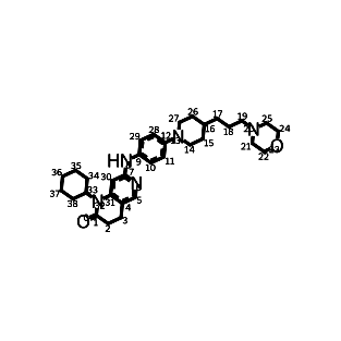 O=C1CCc2cnc(Nc3ccc(N4CCC(CCCN5CCOCC5)CC4)cc3)cc2N1C1CCCCC1